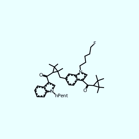 CCCCCn1cc(C(=O)C2C(C)(C)C2(C)Cc2ccc3c(C(=O)C4C(C)(C)C4(C)C)cn(CCCCCF)c3c2)c2ccccc21